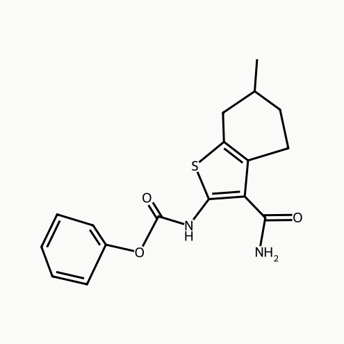 CC1CCc2c(sc(NC(=O)Oc3ccccc3)c2C(N)=O)C1